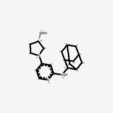 CN[C@H]1CCN(c2ccnc([AsH]C3C4CC5CC(C4)CC3C5)c2)C1